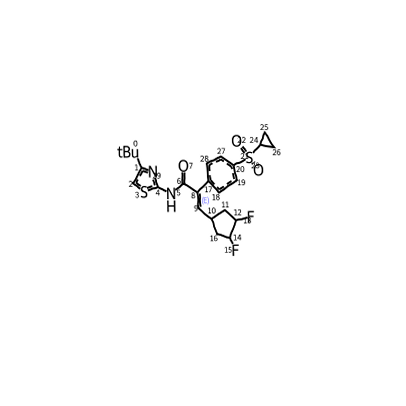 CC(C)(C)c1csc(NC(=O)/C(=C/C2CC(F)C(F)C2)c2ccc(S(=O)(=O)C3CC3)cc2)n1